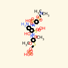 COc1cc(SC#COOS(=O)(=O)O)c(OC)cc1N=Nc1c(SOOO)cc2c(N=Nc3ccc(S(=O)(=O)CCN(C)C)cc3S(=O)(=O)O)c(N)ccc2c1O